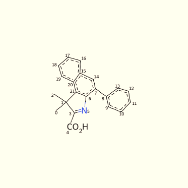 CC1(C)C(C(=O)O)=Nc2c(-c3ccccc3)cc3ccccc3c21